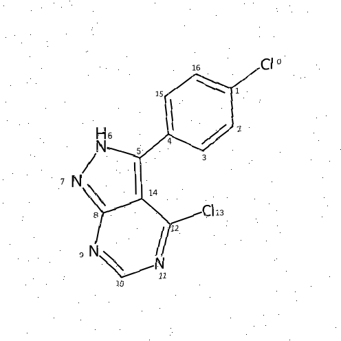 Clc1ccc(-c2[nH]nc3ncnc(Cl)c23)cc1